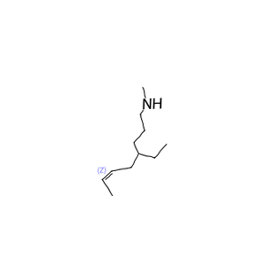 C/C=C\CC(CC)CCCNC